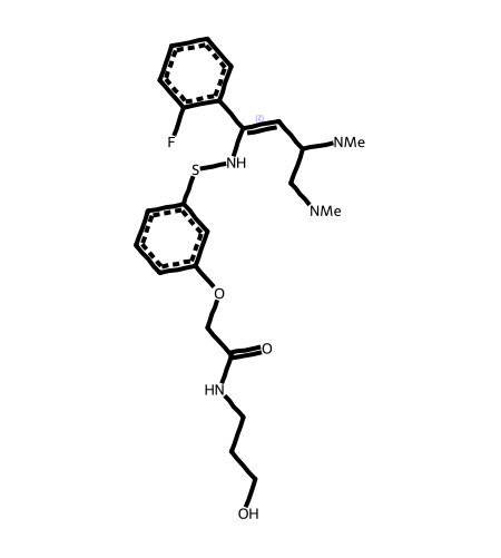 CNCC(/C=C(\NSc1cccc(OCC(=O)NCCCO)c1)c1ccccc1F)NC